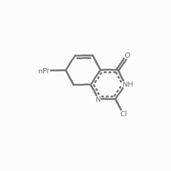 CCCC1C=Cc2c(nc(Cl)[nH]c2=O)C1